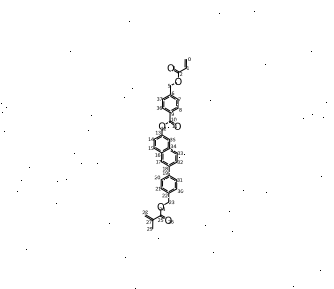 C=CC(=O)OCc1ccc(C(=O)Oc2ccc3cc(-c4ccc(COC(=O)C(=C)C)cc4)ccc3c2)cc1